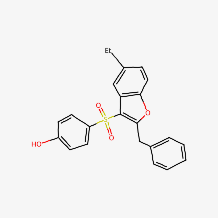 CCc1ccc2oc(Cc3ccccc3)c(S(=O)(=O)c3ccc(O)cc3)c2c1